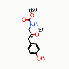 CCO[C@H](CNC(=O)OC(C)(C)C)Cc1ccc(O)cc1